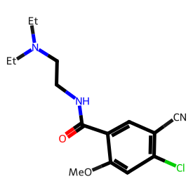 CCN(CC)CCNC(=O)c1cc(C#N)c(Cl)cc1OC